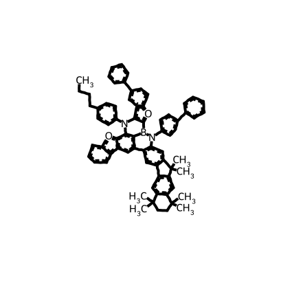 CCCCc1ccc(N2c3c(oc4ccc(-c5ccccc5)cc34)B3c4c(cc5c(oc6ccccc65)c42)-c2cc4c(cc2N3c2ccc(-c3ccccc3)cc2)C(C)(C)c2cc3c(cc2-4)C(C)(C)CCC3(C)C)cc1